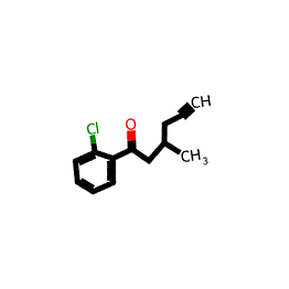 C#CCC(C)CC(=O)c1ccccc1Cl